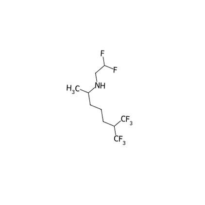 CC(CCCC(C(F)(F)F)C(F)(F)F)NCC(F)F